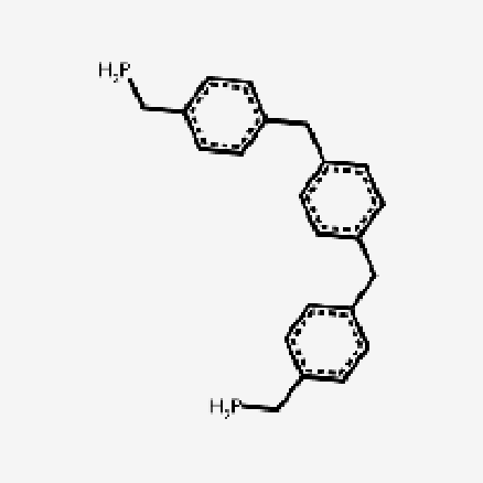 PCc1ccc(Cc2ccc(Cc3ccc(CP)cc3)cc2)cc1